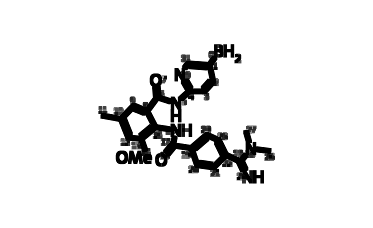 Bc1ccc(NC(=O)c2cc(C)cc(OC)c2NC(=O)c2ccc(C(=N)N(C)C)cc2)nc1